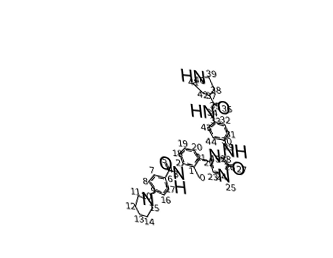 Cc1c(NC(=O)c2ccc(N3CCCCC3)cc2)cccc1-c1cn(C)c(=O)c(Nc2ccc(NC(=O)C3CCNCC3)cc2)n1